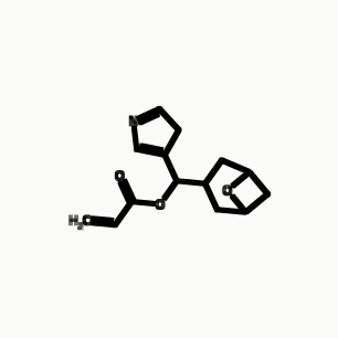 C=CC(=O)OC(C1=CN=CC1)C1CC2CC(C1)O2